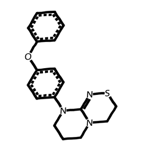 c1ccc(Oc2ccc(N3CCCN4CCSN=C43)cc2)cc1